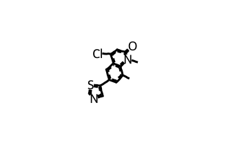 Cc1cc(-c2cncs2)cc2c(Cl)cc(=O)n(C)c12